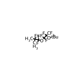 CCC(C)(C)C(F)(F)OC(F)(F)C(F)(OC(C)(C)C)C(F)(F)F